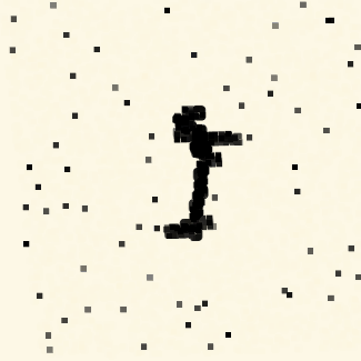 CC(=O)Nc1cc(NCCOCCOCCOCCNC(=O)OC(C)(C)C)ccc1C(=O)Nc1nc(C)c(N=O)s1